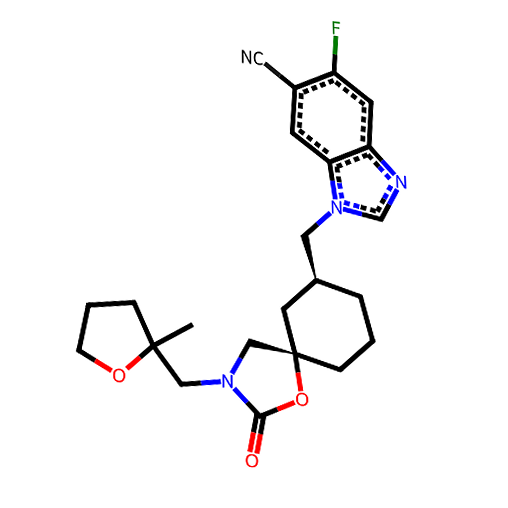 CC1(CN2C[C@@]3(CCC[C@H](Cn4cnc5cc(F)c(C#N)cc54)C3)OC2=O)CCCO1